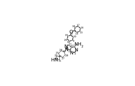 Nc1ncnc2c1c(-c1ccc(Oc3ccccc3)cc1)nn2C1CCC2(CC1)CNC2